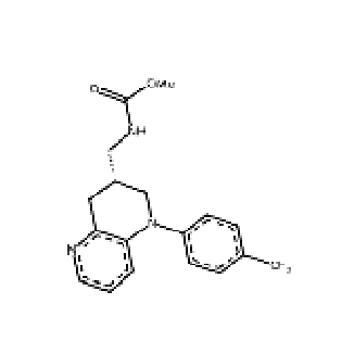 COC(=O)NC[C@H]1Cc2ncccc2N(c2ccc(C(F)(F)F)cc2)C1